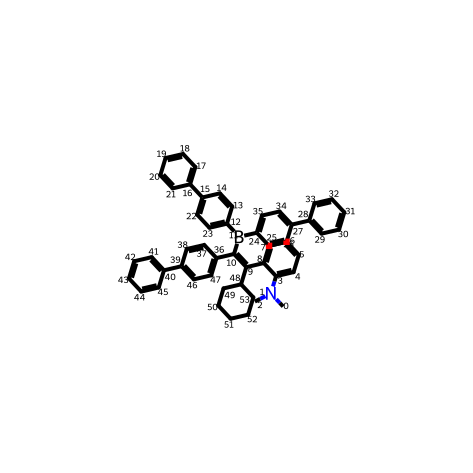 CN(C)c1ccccc1/C(=C(\B(c1ccc(-c2ccccc2)cc1)c1ccc(-c2ccccc2)cc1)c1ccc(-c2ccccc2)cc1)C1CCCCC1